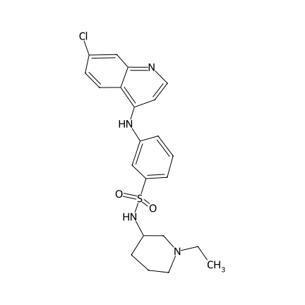 CCN1CCCC(NS(=O)(=O)c2cccc(Nc3ccnc4cc(Cl)ccc34)c2)C1